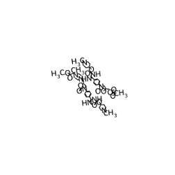 CCOC(=O)C(C)N1CCN(CC2CN(c3ccc(C(=N)NC(=O)OC4CCN(C)CC4)cc3)C(=O)O2)CC1.CN1CCC(OC(=O)NC(=N)c2ccc(N3CC(COS(C)(=O)=O)OC3=O)cc2)CC1